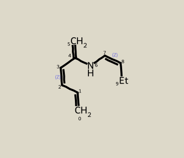 C=C/C=C\C(=C)N/C=C\CC